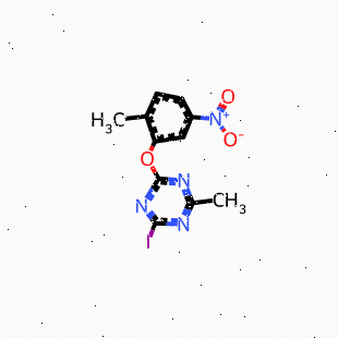 Cc1nc(I)nc(Oc2cc([N+](=O)[O-])ccc2C)n1